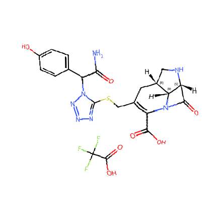 NC(=O)C(c1ccc(O)cc1)n1nnnc1SCC1=C(C(=O)O)N2C(=O)[C@H]3NC[C@@H](C1)[C@H]32.O=C(O)C(F)(F)F